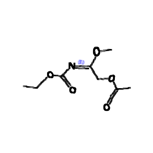 CCOC(=O)/N=C(\COC(C)=O)OC